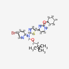 C[Si](C)(C)CCOCN(c1ccc(Br)cn1)c1ncc(-c2ccnc(OC3CCCCC3)n2)s1